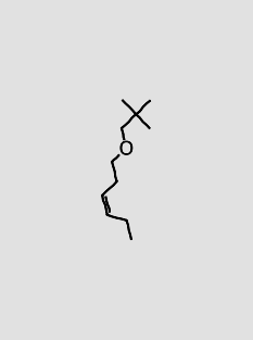 CC/C=C\CCOCC(C)(C)C